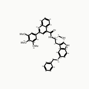 COc1cc(-c2cc(C(=O)N[C@H](CO)Cc3c[nH]c4ccc(OCc5ccccc5)cc34)c3ccccc3n2)cc(OC)c1OC